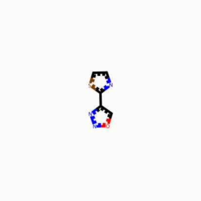 c1csc(-c2conn2)n1